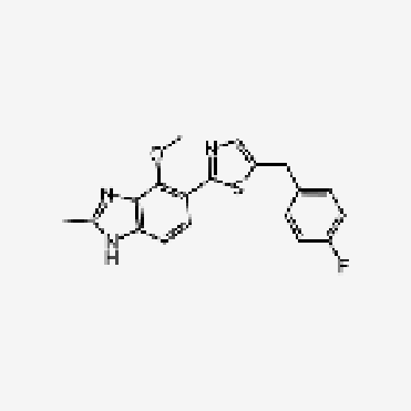 COc1c(-c2ncc(Cc3ccc(F)cc3)s2)ccc2[nH]c(C)nc12